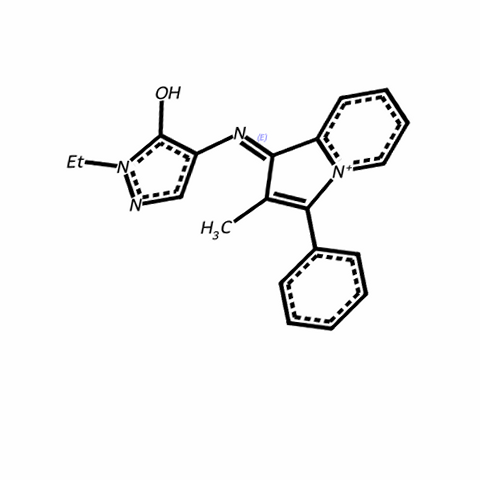 CCn1ncc(/N=C2\C(C)=C(c3ccccc3)[n+]3ccccc32)c1O